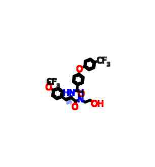 O=C(NCCO)/C(=C/c1ccc(OC(F)(F)F)cc1)NC(=O)c1ccc(Oc2ccc(C(F)(F)F)cc2)cc1